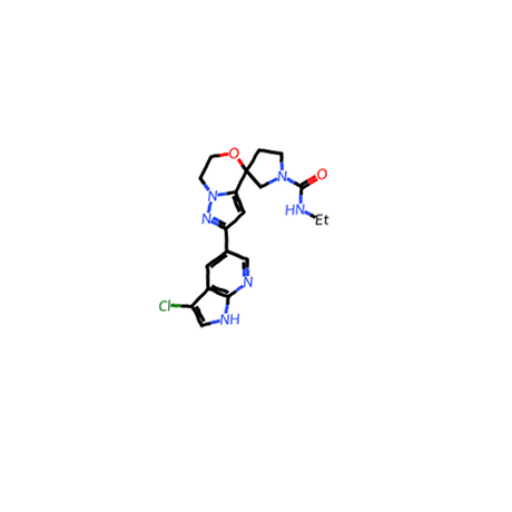 CCNC(=O)N1CCC2(C1)OCCn1nc(-c3cnc4[nH]cc(Cl)c4c3)cc12